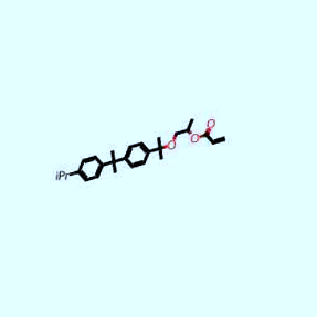 C=CC(=O)OC(C)COC(C)(C)c1ccc(C(C)(C)c2ccc(C(C)C)cc2)cc1